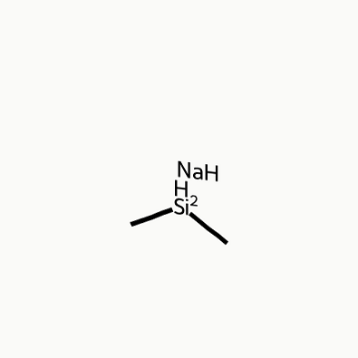 C[SiH2]C.[NaH]